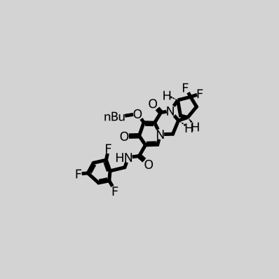 CCCCOc1c2n(cc(C(=O)NCc3c(F)cc(F)cc3F)c1=O)C[C@@H]1[C@H]3C[C@@H](N1C2=O)C(F)(F)C3